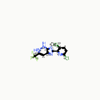 Cn1c(-c2nc(Cl)ccc2Cl)nc2c1NNC(C(F)(F)F)=C2